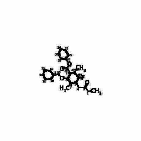 CCC(=O)Cc1c(C)c(OCc2ccccc2)c(C(=O)Oc2ccccc2)c(C)c1F